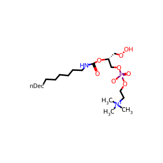 CCCCCCCCCCCCCCCCNC(=O)O[C@H](COO)COP(=O)([O-])OCC[N+](C)(C)C